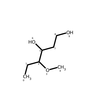 CCC(OC)C(O)CCO